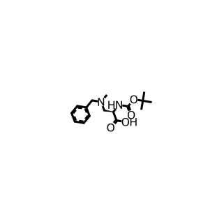 CN(Cc1ccccc1)C[C@@H](NC(=O)OC(C)(C)C)C(=O)O